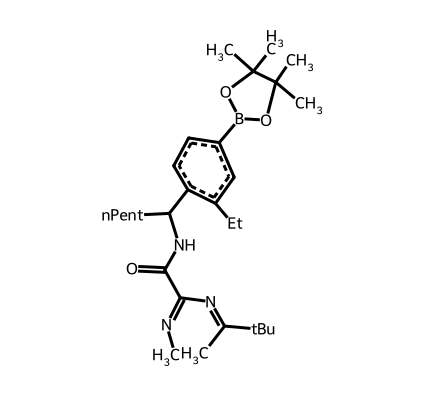 CCCCCC(NC(=O)C(=N/C)/N=C(\C)C(C)(C)C)c1ccc(B2OC(C)(C)C(C)(C)O2)cc1CC